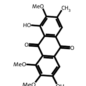 COc1c(C)cc2c(c1O)C(=O)c1c(cc(O)c(OC)c1OC)C2=O